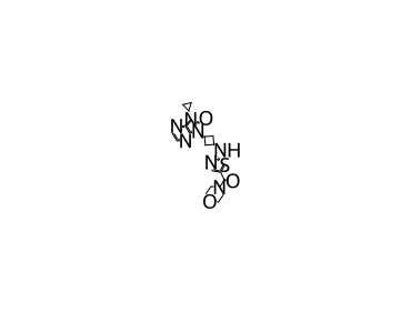 O=C(c1cnc(N[C@H]2C[C@H](n3c(=O)n(C4CC4)c4nccnc43)C2)s1)N1CCOCC1